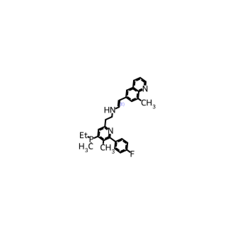 CCP(C)c1cc(CCN/C=C/c2cc(C)c3ncccc3c2)nc(-c2ccc(F)cc2)c1C